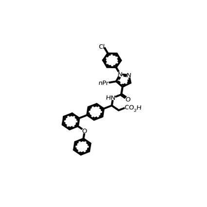 CCCc1c(C(=O)NC(CC(=O)O)c2ccc(-c3ccccc3Oc3ccccc3)cc2)cnn1-c1ccc(Cl)cc1